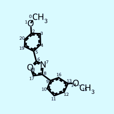 COc1ccc(-c2nc(-c3cccc(OC)c3)co2)cc1